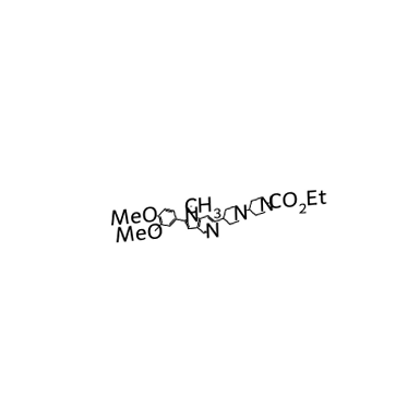 CCOC(=O)N1CCC(N2CCC(c3cc4c(cn3)cc(-c3ccc(OC)c(OC)c3)n4C)CC2)CC1